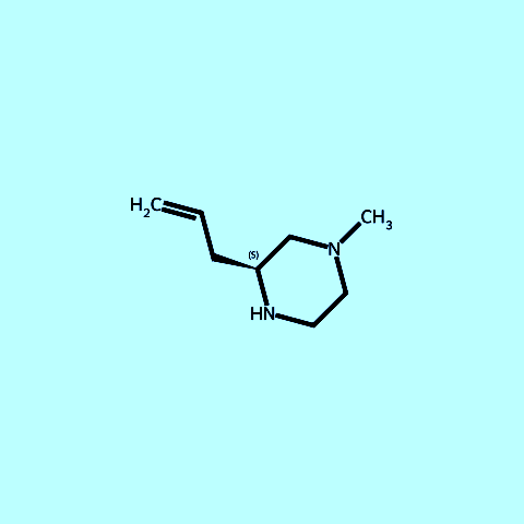 C=CC[C@H]1CN(C)CCN1